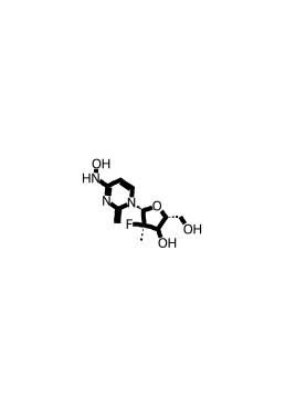 C=C1N=C(NO)C=CN1[C@@H]1O[C@H](CO)C(O)[C@@]1(C)F